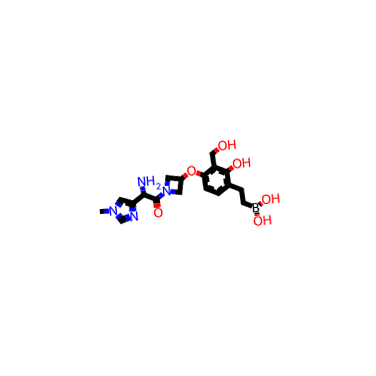 Cn1cnc(C(N)C(=O)N2CC(Oc3ccc(CCB(O)O)c(O)c3CO)C2)c1